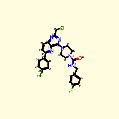 O=C(NCc1ccc(F)cc1)N1CCN(c2nc(CCl)nc3ccc(-c4ccc(F)cc4)nc23)CC1